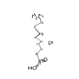 CCCCCCCCCC(=O)O.[Co]